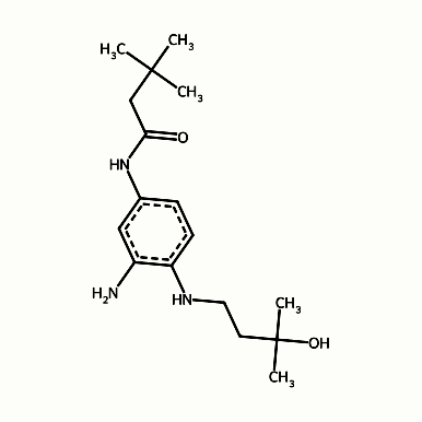 CC(C)(C)CC(=O)Nc1ccc(NCCC(C)(C)O)c(N)c1